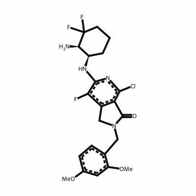 COc1ccc(CN2Cc3c(F)c(N[C@@H]4CCCC(F)(F)[C@@H]4N)nc(Cl)c3C2=O)c(OC)c1